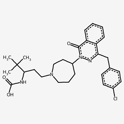 CC(C)(C)C(CCN1CCCC(n2nc(Cc3ccc(Cl)cc3)c3ccccc3c2=O)CC1)NC(=O)O